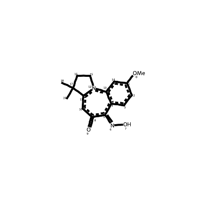 COc1ccc2/c(=N\O)c(=O)cc3n(c2c1)CCC3(C)C